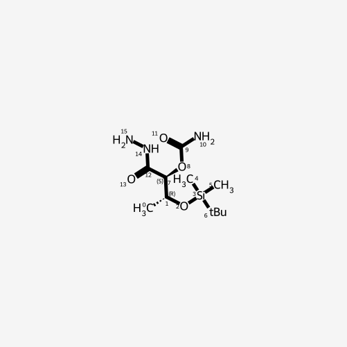 C[C@@H](O[Si](C)(C)C(C)(C)C)[C@H](OC(N)=O)C(=O)NN